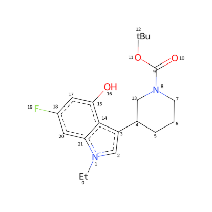 CCn1cc(C2CCCN(C(=O)OC(C)(C)C)C2)c2c(O)cc(F)cc21